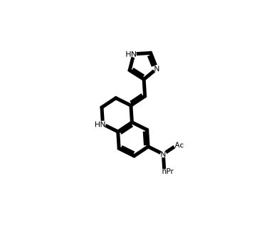 CCCN(C(C)=O)c1ccc2c(c1)/C(=C/c1c[nH]cn1)CCN2